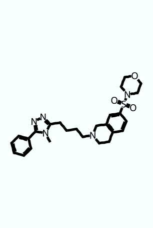 Cn1c(CCCCN2CCc3ccc(S(=O)(=O)N4CCOCC4)cc3C2)nnc1-c1ccccc1